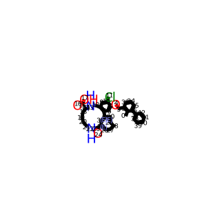 Cc1c(COc2cc3c(cc2Cl)CN[C@H](C(=O)O)CCCCNC(=O)C2=C/CC/C=C/C3=C\2)cccc1-c1ccccc1